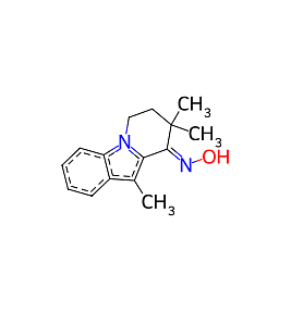 Cc1c2n(c3ccccc13)CCC(C)(C)C2=NO